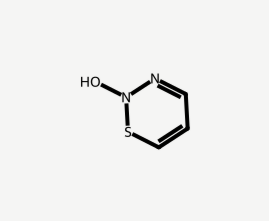 ON1N=CC=CS1